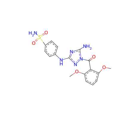 COc1cccc(OC)c1C(=O)n1nc(Nc2ccc(S(N)(=O)=O)cc2)nc1N